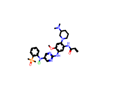 C=CC(=O)Nc1cc(Nc2ncc(N(Cl)c3ccccc3P(C)(C)=O)cn2)c(OC)cc1N1CCCC(N(C)C)C1